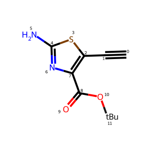 C#Cc1sc(N)nc1C(=O)OC(C)(C)C